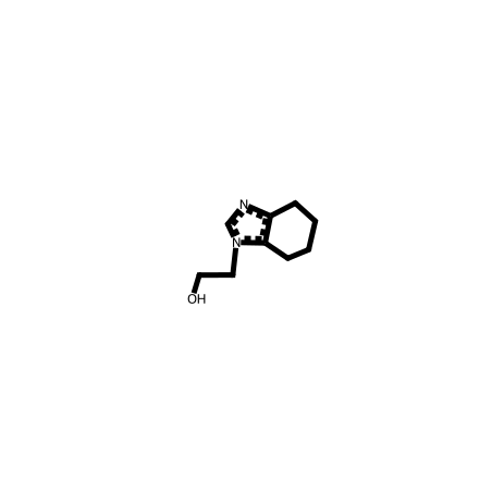 OCCn1cnc2c1CCCC2